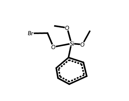 CO[Si](OC)(OCBr)c1ccccc1